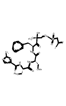 COC[C@H](NC(=O)c1cnc(C)s1)C(=O)N[C@@H](COC)C(=O)N[C@@H](Cc1ccccc1)C(=O)[C@](C)(O)COS(=O)(=O)CC(F)F